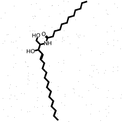 CCCCCCCCCCCCC/C=C/C(O)C(CO)NC(=O)CCCCCCCCCCC